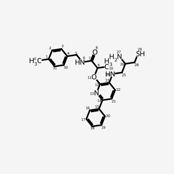 Cc1ccc(CNC(=O)C(C)Oc2nc(-c3ccccc3)ccc2NCC(N)CS)cc1